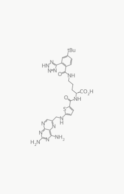 CC(C)(C)c1ccc(C(=O)NCCC[C@H](NC(=O)c2ccc(NCc3cnc4nc(N)nc(N)c4n3)s2)C(=O)O)c(-c2nn[nH]n2)c1